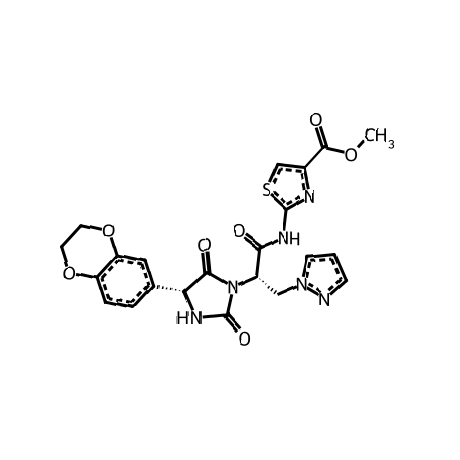 COC(=O)c1csc(NC(=O)[C@H](Cn2cccn2)N2C(=O)N[C@H](c3ccc4c(c3)OCCO4)C2=O)n1